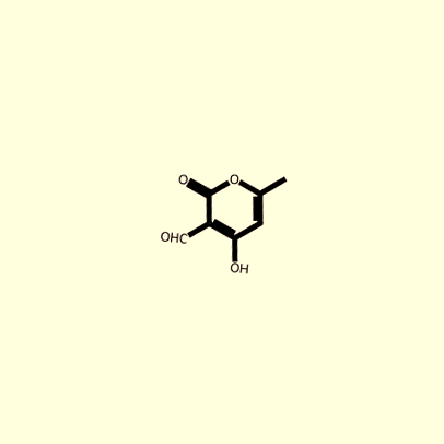 Cc1cc(O)c(C=O)c(=O)o1